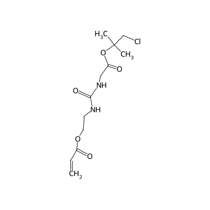 C=CC(=O)OCCNC(=O)NCC(=O)OC(C)(C)CCl